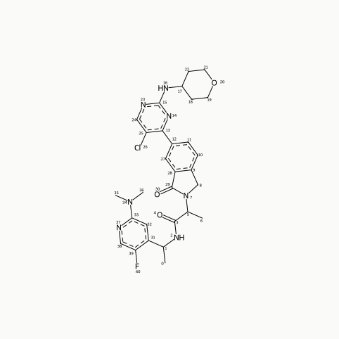 CC(NC(=O)C(C)N1Cc2ccc(-c3nc(NC4CCOCC4)ncc3Cl)cc2C1=O)c1cc(N(C)C)ncc1F